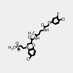 C=C(CCNC(=O)COc1ccc(Cl)c(F)c1)NC(=O)C1CN(CCS(C)(=O)=O)c2cc(Cl)ccc2O1